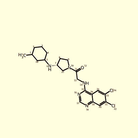 CC1CCCC(N[C@@H]2CCN(C(=O)CNc3ncnc4cc(Cl)c(Cl)cc34)C2)C1